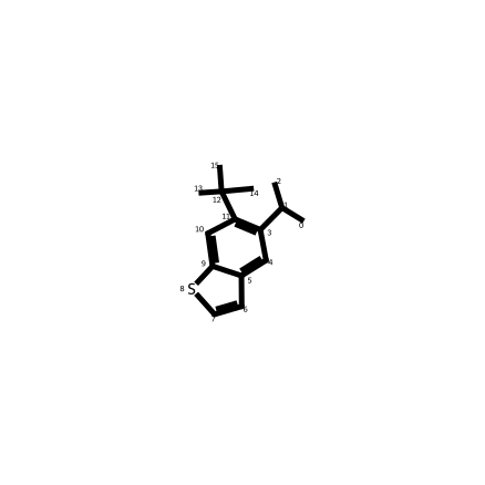 CC(C)c1cc2ccsc2cc1C(C)(C)C